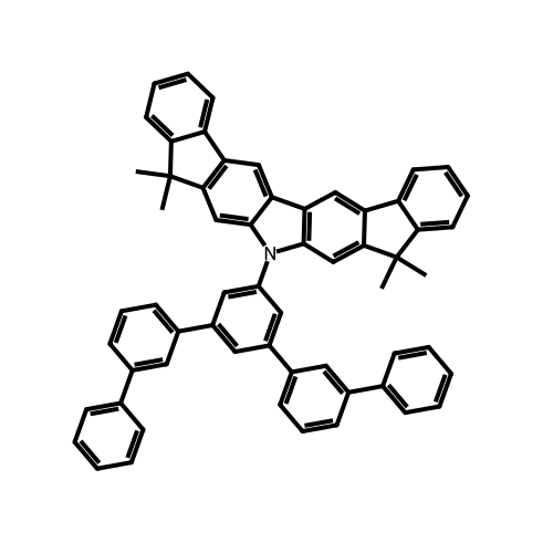 CC1(C)c2ccccc2-c2cc3c4cc5c(cc4n(-c4cc(-c6cccc(-c7ccccc7)c6)cc(-c6cccc(-c7ccccc7)c6)c4)c3cc21)C(C)(C)c1ccccc1-5